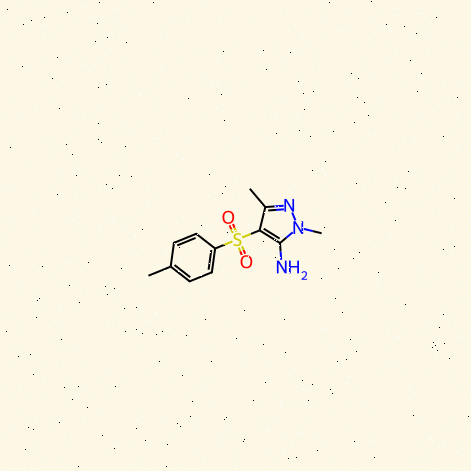 Cc1ccc(S(=O)(=O)c2c(C)nn(C)c2N)cc1